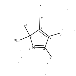 [Li][C]1(C)N=C(C)C(C)=C1C